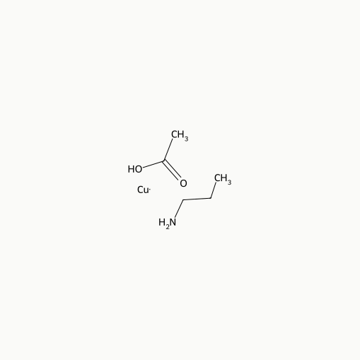 CC(=O)O.CCCN.[Cu]